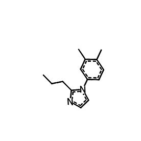 CCCc1nccn1-c1ccc(C)c(C)c1